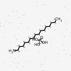 CCCCCCCCCCCCCCCCN.O=P(O)(O)O